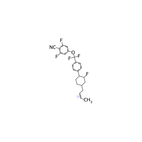 C/C=C\CC1CCC(c2ccc(C(F)(F)Oc3cc(F)c(C#N)c(F)c3)cc2)C(F)C1